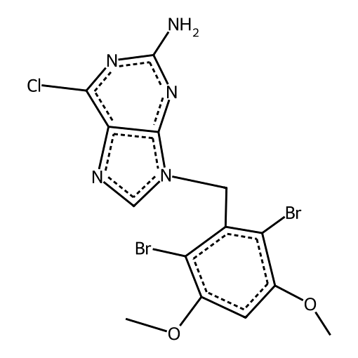 COc1cc(OC)c(Br)c(Cn2cnc3c(Cl)nc(N)nc32)c1Br